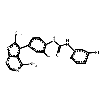 CCc1cccc(NC(=O)Nc2ccc(-c3c(C)sc4ncnc(N)c34)cc2F)c1